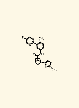 Cc1ccc(NC(=O)C2C3CCC2(c2ccn(C)n2)C3)cc1-c1ncc(F)cn1